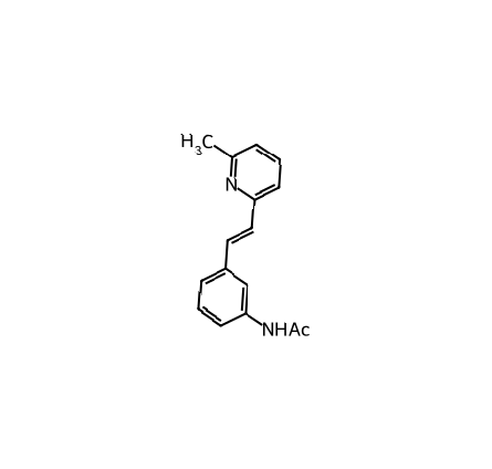 CC(=O)Nc1cccc(C=Cc2cccc(C)n2)c1